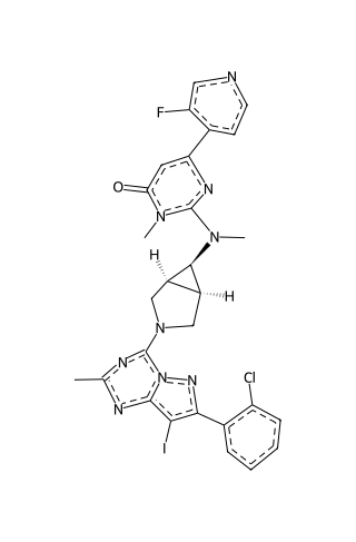 Cc1nc(N2C[C@@H]3[C@H](C2)[C@@H]3N(C)c2nc(-c3ccncc3F)cc(=O)n2C)n2nc(-c3ccccc3Cl)c(I)c2n1